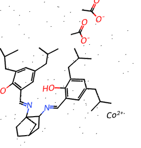 CC(=O)[O-].CC(=O)[O-].CC(C)Cc1cc(C=NC2CC3CCC2(N=Cc2cc(CC(C)C)cc(CC(C)C)c2O)C3)c(O)c(CC(C)C)c1.[Co+2]